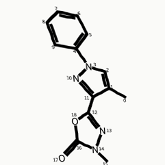 Cc1[c]n(-c2ccccc2)nc1-c1nn(C)c(=O)o1